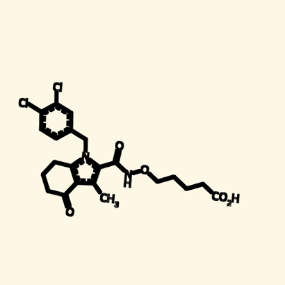 Cc1c2c(n(Cc3ccc(Cl)c(Cl)c3)c1C(=O)NOCCCCC(=O)O)CCCC2=O